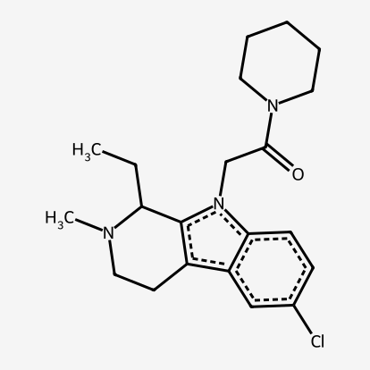 CCC1c2c(c3cc(Cl)ccc3n2CC(=O)N2CCCCC2)CCN1C